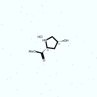 COC(=O)[C@H]1C[C@@H](O)CN1.Cl